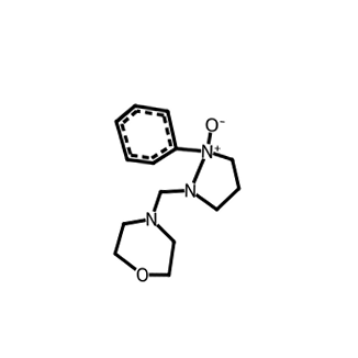 [O-][N+]1(c2ccccc2)CCCN1CN1CCOCC1